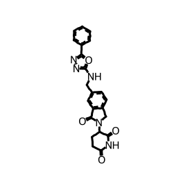 O=C1CCC(N2Cc3ccc(CNc4nnc(-c5ccccc5)o4)cc3C2=O)C(=O)N1